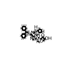 CCN(C(=O)[C@H]1OC[C@H](O)[C@@H]1O)n1cnc2c(NCC(c3ccccc3)c3ccccc3)nc(NC3CCCC3)nc21